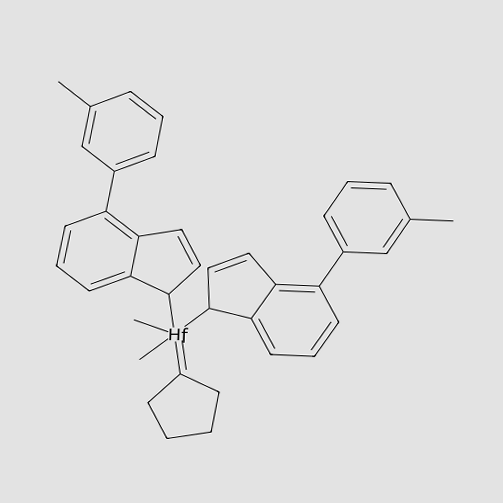 Cc1cccc(-c2cccc3c2C=C[CH]3[Hf]([CH3])([CH3])(=[C]2CCCC2)[CH]2C=Cc3c(-c4cccc(C)c4)cccc32)c1